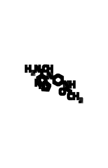 C=CC(=O)NC1CCC(Nc2c(C(N)=O)cnn3cccc23)CC1